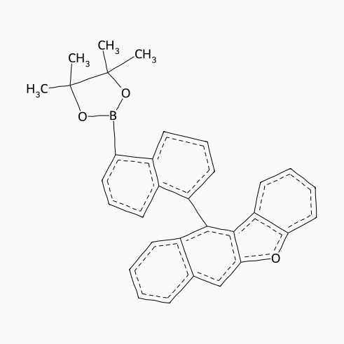 CC1(C)OB(c2cccc3c(-c4c5ccccc5cc5oc6ccccc6c45)cccc23)OC1(C)C